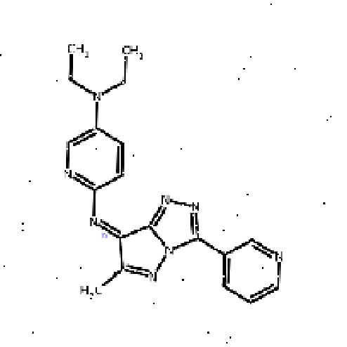 CCN(CC)c1ccc(/N=C2/C(C)=Nn3c2nnc3-c2cccnc2)nc1